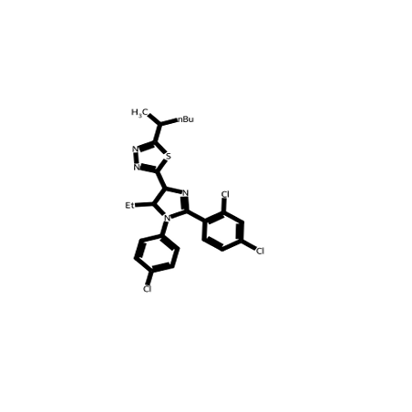 CCCCC(C)c1nnc(C2N=C(c3ccc(Cl)cc3Cl)N(c3ccc(Cl)cc3)C2CC)s1